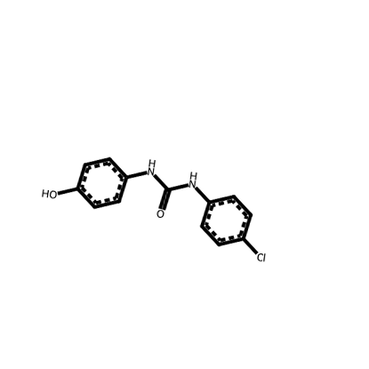 O=C(Nc1ccc(O)cc1)Nc1ccc(Cl)cc1